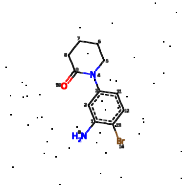 Nc1cc(N2CCCCC2=O)ccc1Br